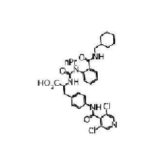 CCCN(C(=O)NC(Cc1ccc(NC(=O)c2c(Cl)cncc2Cl)cc1)C(=O)O)c1ccccc1C(=O)NCC1CCCCC1